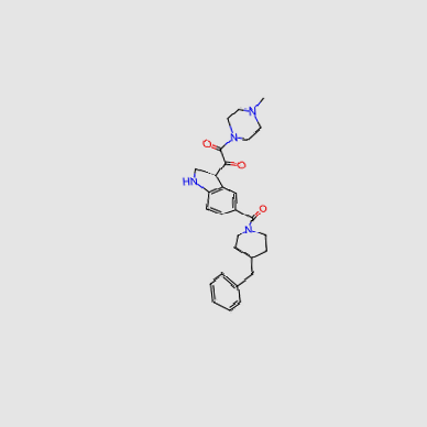 CN1CCN(C(=O)C(=O)C2CNc3ccc(C(=O)N4CCC(Cc5ccccc5)CC4)cc32)CC1